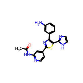 CC(=O)Nc1cc(-c2nc(-c3cccc(N)c3)c(-c3ncc[nH]3)s2)ccn1